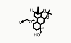 C=C1[C@H]2CC[C@@]34C(C2)[C@]2(COCC#N)CCC[C@@](C)(CO)C2C[C@H]3OC(C)(C)O[C@@H]14